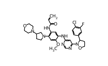 C=CC(=O)Nc1cc(Nc2cc(N3OCCC3c3ccc(Cl)c(F)c3)ncn2)c(OC)cc1N1CCC(N2CCOCC2)C1